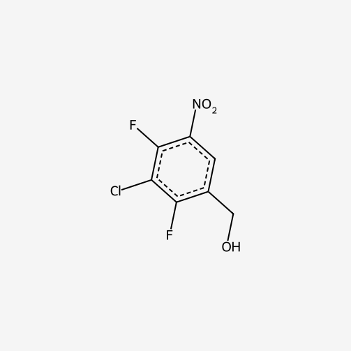 O=[N+]([O-])c1cc(CO)c(F)c(Cl)c1F